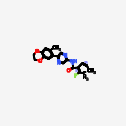 C/C=C\C(C(=O)Nc1cnc(-c2cc3c(cc2C)OCCO3)cn1)=C(/C)F